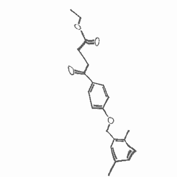 CCOC(=O)CCC(=O)c1ccc(OCc2cc(C)ccc2C)cc1